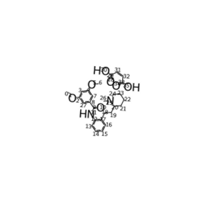 COc1cc(OC)cc(C(=O)Nc2ccccc2CCC2CCCCN2C)c1.O=C(O)/C=C\C(=O)O